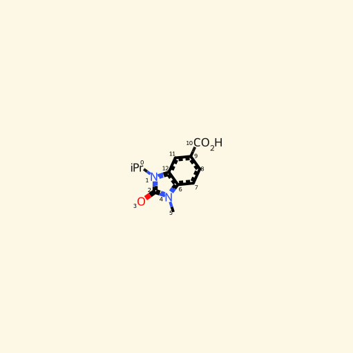 CC(C)n1c(=O)n(C)c2ccc(C(=O)O)cc21